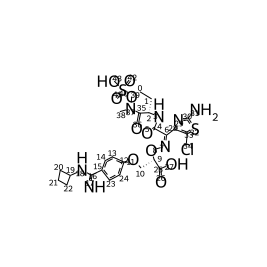 CC[C@H](NC(=O)/C(=N\O[C@@H](COc1ccc(C(=N)NC2CCC2)cc1)C(=O)O)c1nc(N)sc1Cl)C(=O)N(C)OS(=O)(=O)O